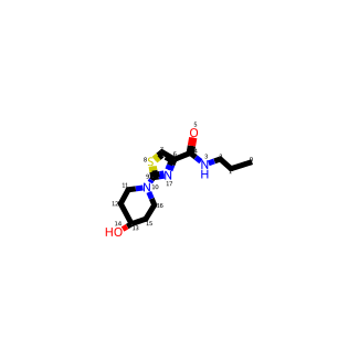 CCCNC(=O)c1csc(N2CCC(O)CC2)n1